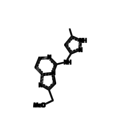 COCc1cn2c(Nc3cc(C)[nH]n3)nccc2n1